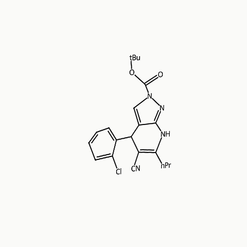 CCCC1=C(C#N)C(c2ccccc2Cl)c2cn(C(=O)OC(C)(C)C)nc2N1